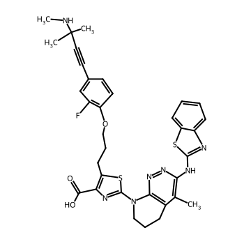 CNC(C)(C)C#Cc1ccc(OCCCc2sc(N3CCCc4c3nnc(Nc3nc5ccccc5s3)c4C)nc2C(=O)O)c(F)c1